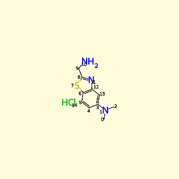 CN(C)c1ccc2sc(CN)nc2c1.Cl